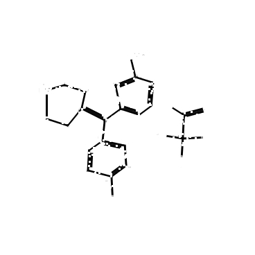 COc1cccc(C(=C2CCNCC2)c2ccc(F)cc2)c1.O=C(O)C(F)(F)F